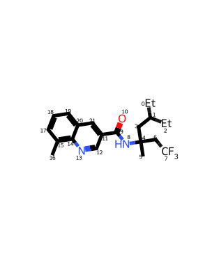 CCC(CC)CC(C)(CC(F)(F)F)NC(=O)c1cnc2c(C)cccc2c1